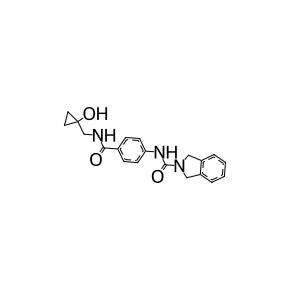 O=C(NCC1(O)CC1)c1ccc(NC(=O)N2Cc3ccccc3C2)cc1